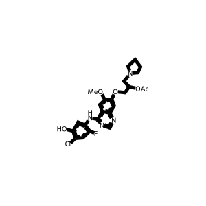 COc1cc2c(Nc3cc(O)c(Cl)cc3F)ncnc2cc1OCC(CN1CCCC1)OC(C)=O